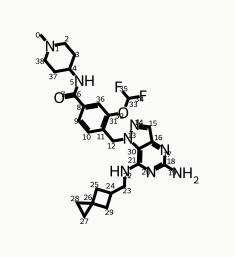 CN1CCC(NC(=O)c2ccc(Cn3ncc4nc(N)nc(NCC5CC6(CC6)C5)c43)c(OC(F)F)c2)CC1